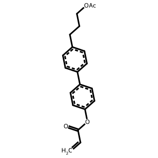 C=CC(=O)Oc1ccc(-c2ccc(CCCOC(C)=O)cc2)cc1